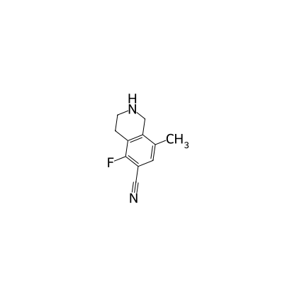 Cc1cc(C#N)c(F)c2c1CNCC2